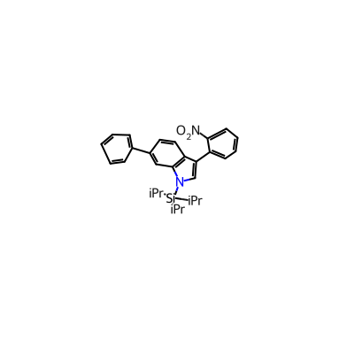 CC(C)[Si](C(C)C)(C(C)C)n1cc(-c2ccccc2[N+](=O)[O-])c2ccc(-c3ccccc3)cc21